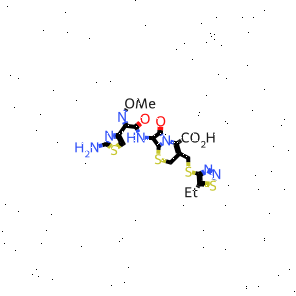 CCc1snnc1SCC1=C(C(=O)O)N2C(=O)C(NC(=O)/C(=N\OC)c3csc(N)n3)C2SC1